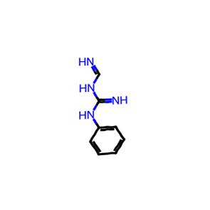 N=CNC(=N)Nc1ccccc1